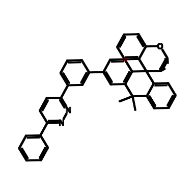 CC1(C)c2ccccc2C2(c3ccccc3Oc3ccccc32)c2ccc(-c3cccc(-c4ccc(-c5ccccc5)nn4)c3)cc21